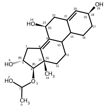 CC(O)O[C@H]1[C@H](O)CC2=C3C(CC[C@@]21C)C1CC[C@H](O)C=C1C[C@@H]3O